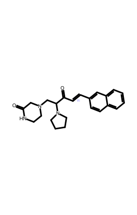 O=C1CN(CC(C(=O)/C=C/c2ccc3ccccc3c2)N2CCCC2)CCN1